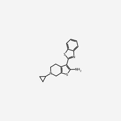 Nc1sc2c(c1-c1nc3ccccc3s1)CCN(C1CC1)C2